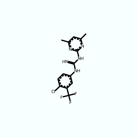 Cc1cc(C)nc(NC(=N)Nc2ccc(Cl)c(C(F)(F)F)c2)n1